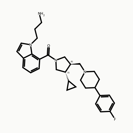 NCCCn1ccc2cccc(C(=O)N3C[C@@H](CN4CCC(c5ccc(F)cc5)CC4)[C@H](C4CC4)C3)c21